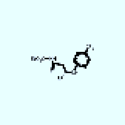 CCOC(=O)NC(=O)C[C@@H](CC)Nc1ccc(C(F)(F)F)cc1